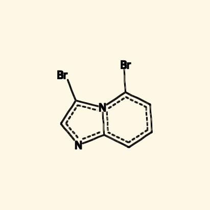 Brc1cccc2ncc(Br)n12